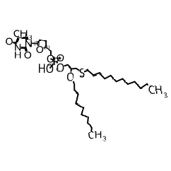 CCCCCCCCCCCCSCC(COP(=O)(O)OC[C@@H]1CC[C@H](n2cc(C)c(=O)[nH]c2=O)O1)OCCCCCCCCCC